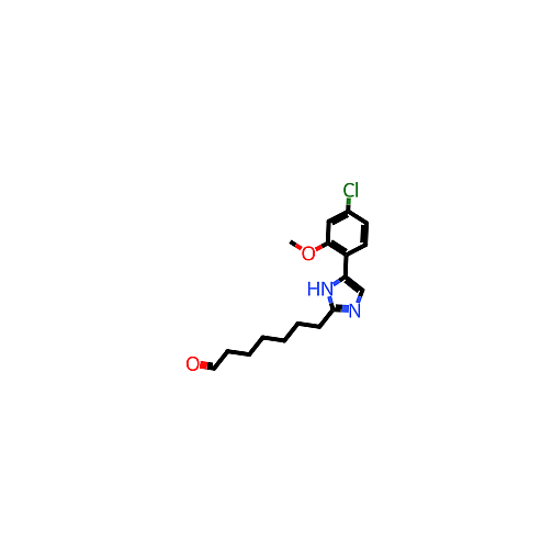 COc1cc(Cl)ccc1-c1cnc(CCCCCCC=O)[nH]1